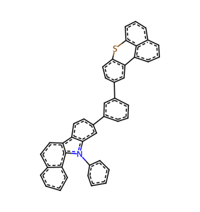 c1ccc(-n2c3cc(-c4cccc(-c5ccc6c(c5)-c5cccc7cccc(c57)S6)c4)ccc3c3ccc4ccccc4c32)cc1